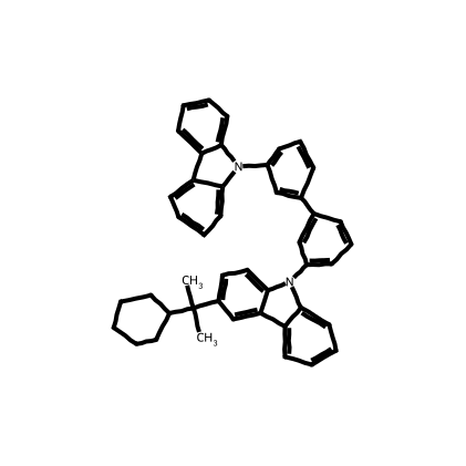 CC(C)(c1ccc2c(c1)c1ccccc1n2-c1cccc(-c2cccc(-n3c4ccccc4c4ccccc43)c2)c1)C1CCCCC1